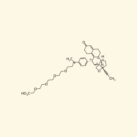 CC#C[C@]12CC[C@H]3[C@@H]4CCC5=CC(=O)CCC5=C4[C@@H](c4ccc(N(C)CCOCCOCCOCCOCC(=O)O)cc4)C[C@@]31CO2